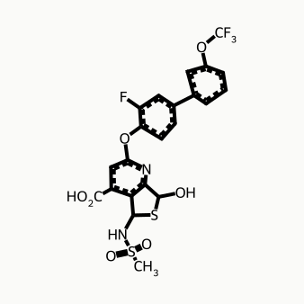 CS(=O)(=O)NC1SC(O)c2nc(Oc3ccc(-c4cccc(OC(F)(F)F)c4)cc3F)cc(C(=O)O)c21